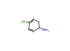 NC1C=CC(Cl)=CC1